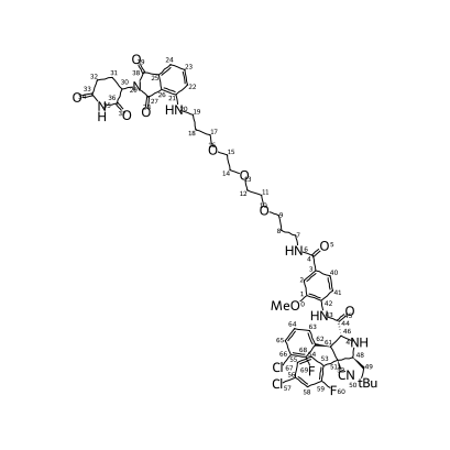 COc1cc(C(=O)NCCCOCCOCCOCCCNc2cccc3c2C(=O)N(C2CCC(=O)NC2=O)C3=O)ccc1NC(=O)[C@@H]1N[C@@H](CC(C)(C)C)[C@](C#N)(c2ccc(Cl)cc2F)[C@H]1c1cccc(Cl)c1F